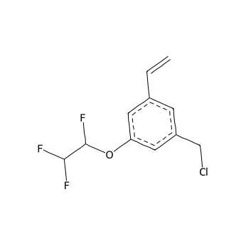 C=Cc1cc(CCl)cc(OC(F)C(F)F)c1